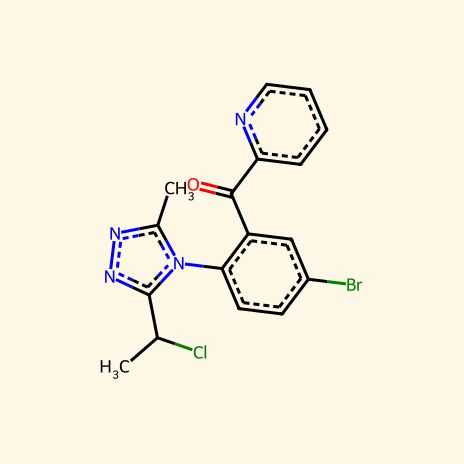 Cc1nnc(C(C)Cl)n1-c1ccc(Br)cc1C(=O)c1ccccn1